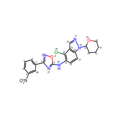 O=[N+]([O-])c1cccc(-c2noc(Nc3ccc4c(cnn4C4CCCCO4)c3Cl)n2)c1